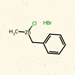 Br.[CH3][Zn]([Cl])[CH2]c1ccccc1